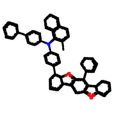 Cc1ccc2ccccc2c1N(c1ccc(-c2ccccc2)cc1)c1ccc(-c2cccc3c2oc2c(-c4ccccc4)c4c(cc23)oc2ccccc24)cc1